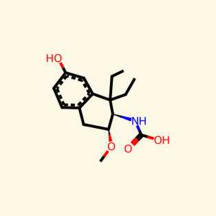 CCC1(CC)c2cc(O)ccc2C[C@H](OC)[C@@H]1NC(=O)O